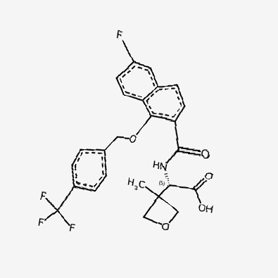 CC1([C@H](NC(=O)c2ccc3cc(F)ccc3c2OCc2ccc(C(F)(F)F)cc2)C(=O)O)COC1